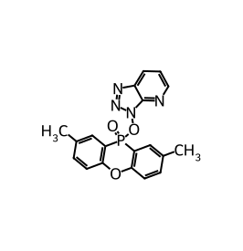 Cc1ccc2c(c1)P(=O)(On1nnc3cccnc31)c1cc(C)ccc1O2